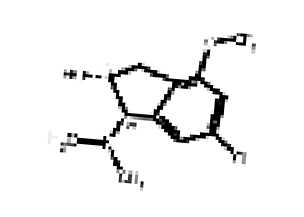 CN(C)[C@@H]1c2cc(Cl)cc(OC(F)(F)F)c2C[C@H]1O